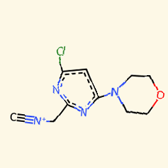 [C-]#[N+]Cc1nc(Cl)cc(N2CCOCC2)n1